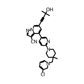 CC(C)(O)C#Cc1cc(-c2ccc(N3CCC(C)(CN4C=CC=C(Cl)C4)CC3)nc2)c2c(C#N)cnn2c1